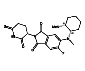 CN[C@@H]1CCCC[C@@H]1N(C)c1cc2c(cc1F)C(=O)N(C1CCC(=O)NC1=O)C2=O